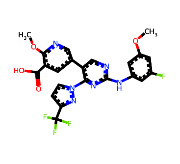 COc1cc(F)cc(Nc2ncc(-c3cnc(OC)c(C(=O)O)c3)c(-n3ccc(C(F)(F)F)n3)n2)c1